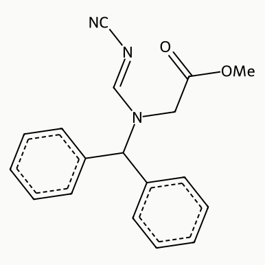 COC(=O)CN(C=NC#N)C(c1ccccc1)c1ccccc1